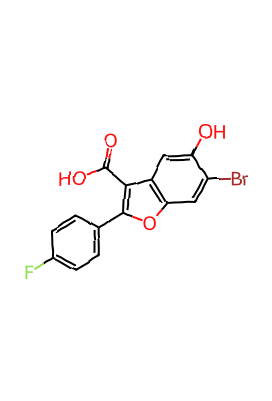 O=C(O)c1c(-c2ccc(F)cc2)oc2cc(Br)c(O)cc12